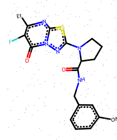 CCc1nc2sc(N3CCCC3C(=O)NCc3cccc(OC)c3)nn2c(=O)c1F